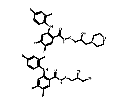 Cc1cc(I)ccc1Nc1cc(F)c(F)cc1C(=O)NOCC(O)CN1CCOCC1.Cc1cc(I)ccc1Nc1cc(F)c(F)cc1C(=O)NOCC(O)CO